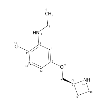 CCNc1cc(OC[C@@H]2CCN2)cnc1Cl